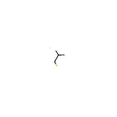 CC(Br)CS